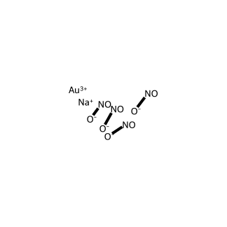 O=N[O-].O=N[O-].O=N[O-].O=N[O-].[Au+3].[Na+]